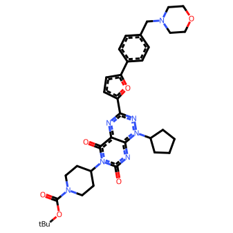 CC(C)(C)OC(=O)N1CCC(n2c(=O)nc3n(C4CCCC4)nc(-c4ccc(-c5ccc(CN6CCOCC6)cc5)o4)nc-3c2=O)CC1